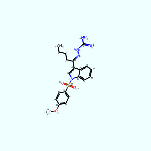 CCCCC(=NNC(=N)N)c1cn(S(=O)(=O)c2ccc(OC)cc2)c2ccccc12